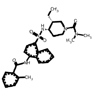 CC[C@@H]1CN(C(=O)N(C)C)CC[C@@H]1NS(=O)(=O)c1ccc(NC(=O)c2ccccc2C)c2ccccc12